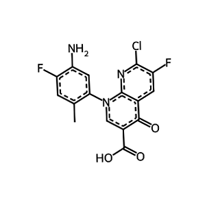 Cc1cc(F)c(N)cc1-n1cc(C(=O)O)c(=O)c2cc(F)c(Cl)nc21